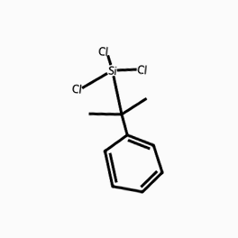 CC(C)(c1ccccc1)[Si](Cl)(Cl)Cl